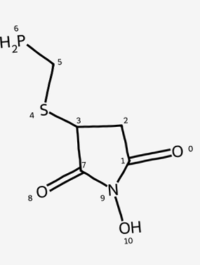 O=C1CC(SCP)C(=O)N1O